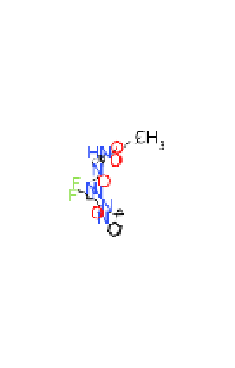 CCCCOC(=O)N[C@@H]1CCN(C(=O)Cn2nc(-c3nc(C4(c5ccccc5)CC4)no3)cc2C(F)F)C1